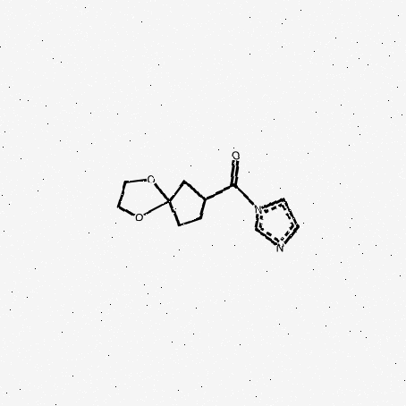 O=C(C1CCC2(C1)OCCO2)n1ccnc1